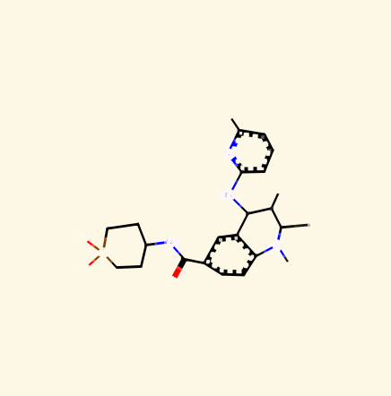 CCC1C(C)C(Nc2cccc(C)n2)c2cc(C(=O)NC3CCS(O)(O)CC3)ccc2N1C(C)=O